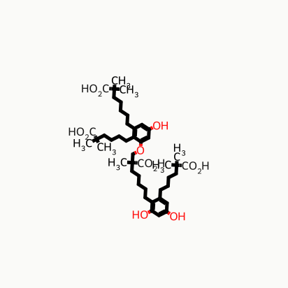 CC(C)(CCCCCc1cc(O)cc(OCC(C)(CCCCCc2c(O)cc(O)cc2CCCCC(C)(C)C(=O)O)C(=O)O)c1CCCCC(C)(C)C(=O)O)C(=O)O